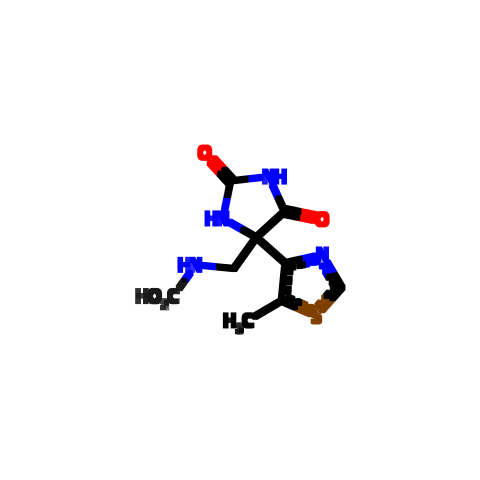 Cc1scnc1C1(CNC(=O)O)NC(=O)NC1=O